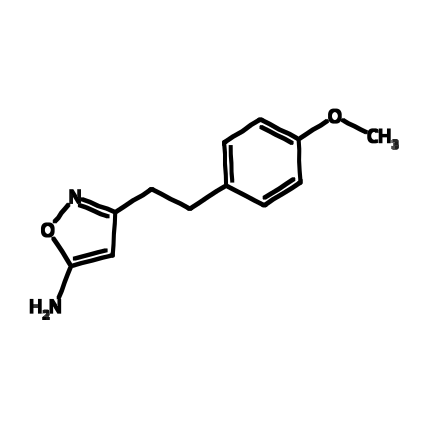 COc1ccc(CCc2cc(N)on2)cc1